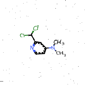 CN(C)c1ccnc(C(Cl)Cl)c1